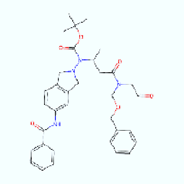 CC(CC(=O)N(CC=O)COCc1ccccc1)N(C(=O)OC(C)(C)C)N1Cc2ccc(NC(=O)c3ccccc3)cc2C1